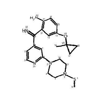 CSN1CCN(c2cc(C(=N)c3cc(OC4(C)CC4)ccc3N)ccn2)CC1